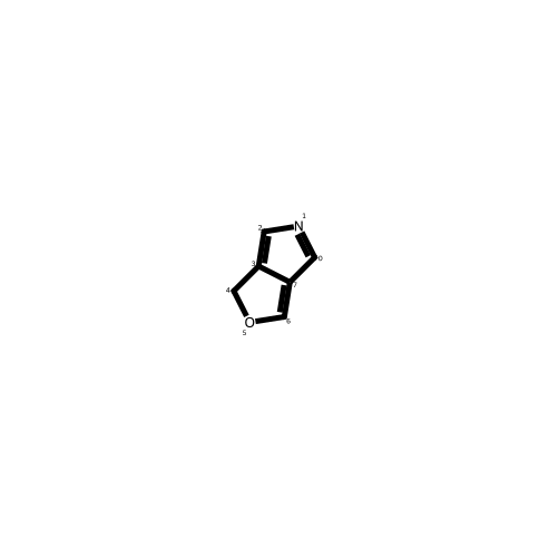 C1=NC=C2COC=C12